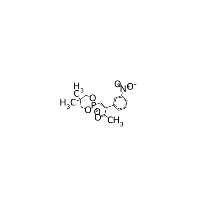 CC(=O)C(=CP1(=O)OCC(C)(C)CO1)c1cccc([N+](=O)[O-])c1